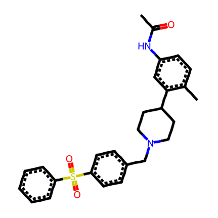 CC(=O)Nc1ccc(C)c(C2CCN(Cc3ccc(S(=O)(=O)c4ccccc4)cc3)CC2)c1